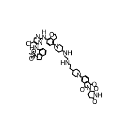 CS(=O)(=O)N1CCc2cccc(Nc3nc(Nc4ccc(N5CCC(NCCNCCC6CCN(c7ccc8c(c7)C(=O)N(C7CCC(=O)NC7=O)C8=O)CC6)CC5)c5c4OCC5)ncc3Cl)c21